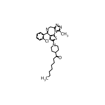 CCCCCCCC(=O)C1CCN(c2cc3c(s2)-n2c(C)nnc2CN=C3c2ccccc2Cl)CC1